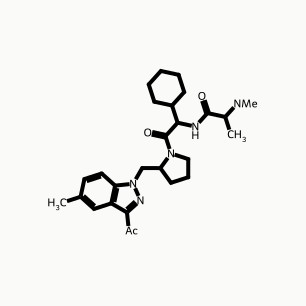 CNC(C)C(=O)NC(C(=O)N1CCCC1Cn1nc(C(C)=O)c2cc(C)ccc21)C1CCCCC1